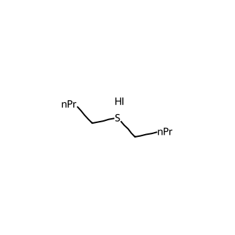 CCCCSCCCC.I